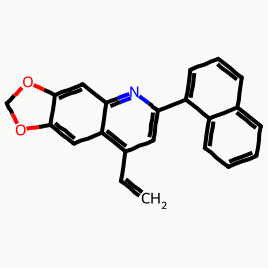 C=Cc1cc(-c2cccc3ccccc23)nc2cc3c(cc12)OCO3